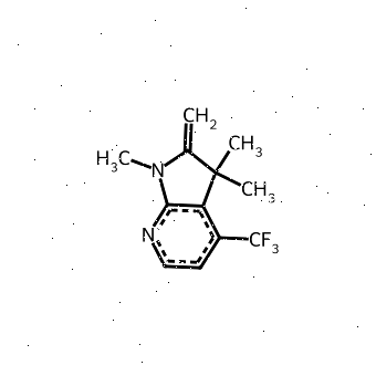 C=C1N(C)c2nccc(C(F)(F)F)c2C1(C)C